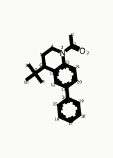 CC(=O)N1CCC(C(C)(C)C)c2cc(-c3ccccc3)ccc21